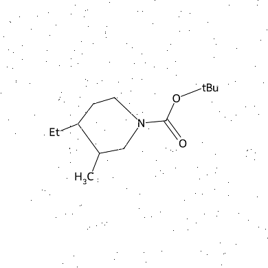 CCC1CCN(C(=O)OC(C)(C)C)CC1C